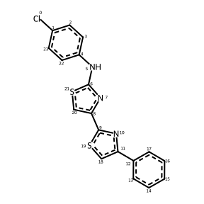 Clc1ccc(Nc2nc(-c3nc(-c4ccccc4)cs3)cs2)cc1